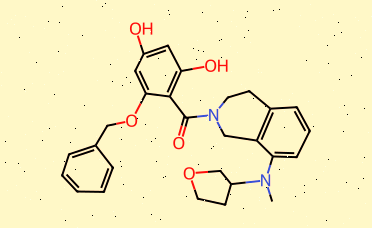 CN(c1cccc2c1CN(C(=O)c1c(O)cc(O)cc1OCc1ccccc1)CC2)C1CCOC1